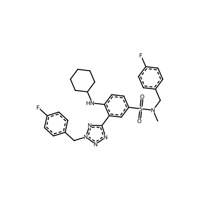 CN(Cc1ccc(F)cc1)S(=O)(=O)c1ccc(NC2CCCCC2)c(-c2nnn(Cc3ccc(F)cc3)n2)c1